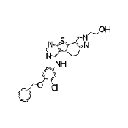 OCCn1cc2c(n1)CCc1c-2sc2ncnc(Nc3ccc(OCc4ccccc4)c(Cl)c3)c12